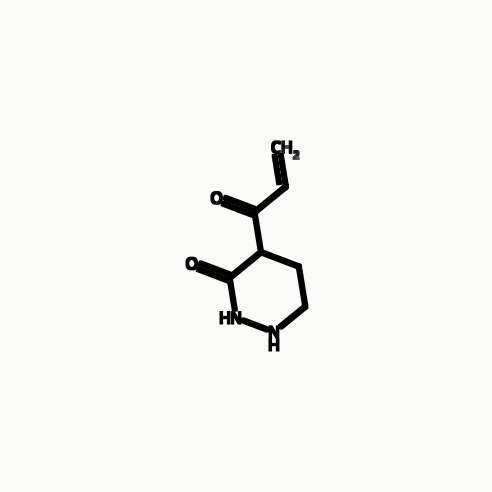 C=CC(=O)C1CCNNC1=O